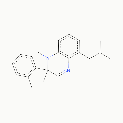 Cc1ccccc1C1(C)C=Nc2c(CC(C)C)cccc2N1C